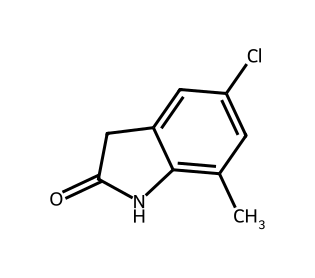 Cc1cc(Cl)cc2c1NC(=O)C2